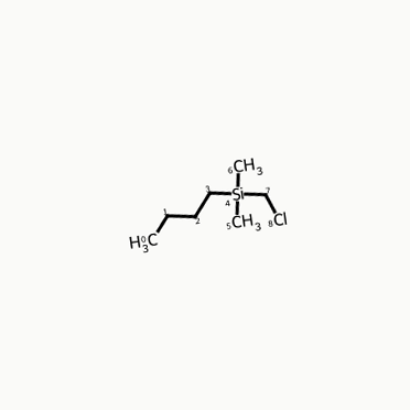 CCCC[Si](C)(C)CCl